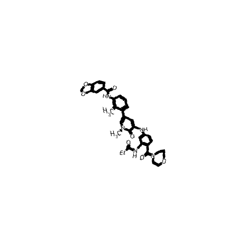 CCC(=O)Nc1cc(Nc2cc(-c3cccc(NC(=O)c4ccc5c(c4)OCO5)c3C)cn(C)c2=O)ccc1C(=O)N1CCOCC1